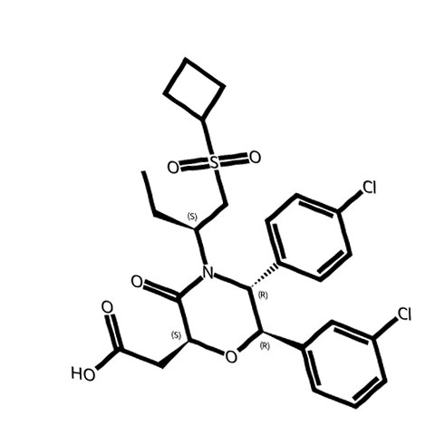 CC[C@@H](CS(=O)(=O)C1CCC1)N1C(=O)[C@H](CC(=O)O)O[C@H](c2cccc(Cl)c2)[C@H]1c1ccc(Cl)cc1